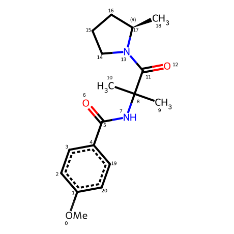 COc1ccc(C(=O)NC(C)(C)C(=O)N2CCC[C@H]2C)cc1